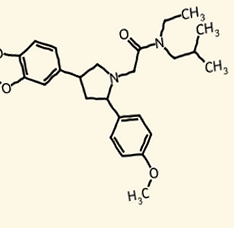 CCN(CC(C)C)C(=O)CN1CC(c2ccc3c(c2)OCO3)CC1c1ccc(OC)cc1